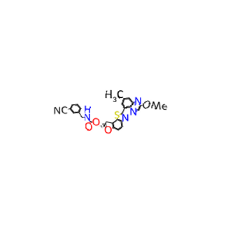 COc1cnc2c(-c3nc4ccc5c(c4s3)C[C@@H](COC(=O)NCc3cccc(C#N)c3)O5)cc(C)cc2n1